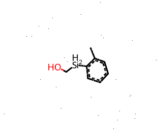 Cc1ccccc1[SiH2]CO